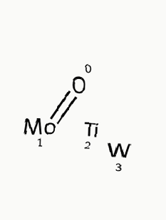 [O]=[Mo].[Ti].[W]